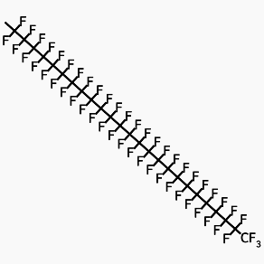 CC(F)(F)C(F)(F)C(F)(F)C(F)(F)C(F)(F)C(F)(F)C(F)(F)C(F)(F)C(F)(F)C(F)(F)C(F)(F)C(F)(F)C(F)(F)C(F)(F)C(F)(F)C(F)(F)C(F)(F)C(F)(F)C(F)(F)C(F)(F)C(F)(F)C(F)(F)C(F)(F)C(F)(F)C(F)(F)F